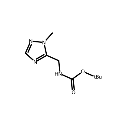 Cn1ncnc1CNC(=O)OC(C)(C)C